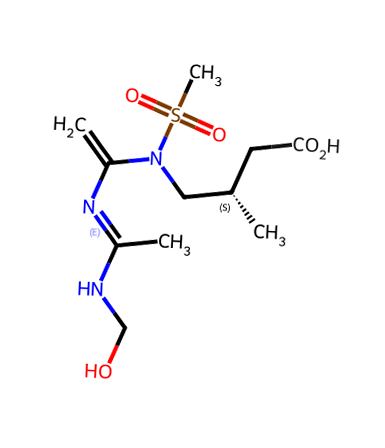 C=C(/N=C(\C)NCO)N(C[C@@H](C)CC(=O)O)S(C)(=O)=O